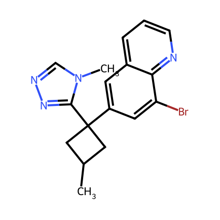 CC1CC(c2cc(Br)c3ncccc3c2)(c2nncn2C)C1